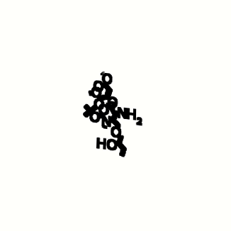 CC[C@@H](O)COCC(/C(N)=N/O/C(=C/C(=O)OC)C(=O)OC)N(C)C(=O)OC(C)(C)C